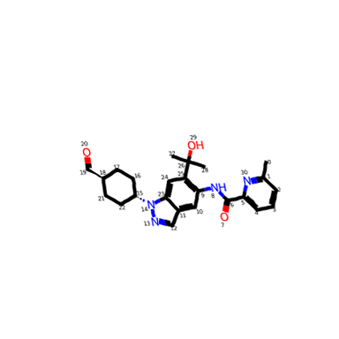 Cc1cccc(C(=O)Nc2cc3cnn([C@H]4CC[C@H](C=O)CC4)c3cc2C(C)(C)O)n1